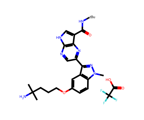 Cn1nc(-c2cnc3[nH]cc(C(=O)NC(C)(C)C)c3n2)c2cc(OCCCC(C)(C)N)ccc21.O=C(O)C(F)(F)F